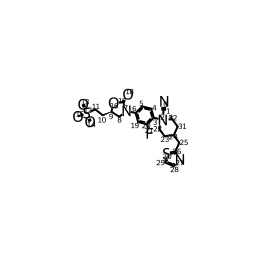 N#C[N+]1(c2ccc(N3C[C@@H](CCS(=O)(=O)[O-])OC3=O)cc2F)CCC(Cc2nccs2)CC1